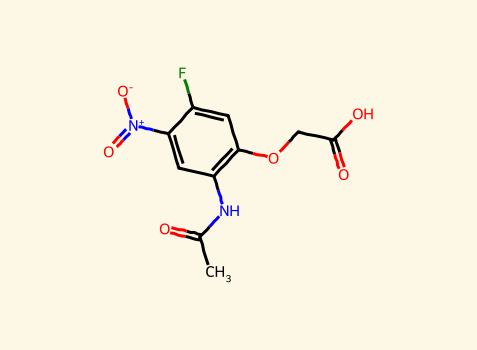 CC(=O)Nc1cc([N+](=O)[O-])c(F)cc1OCC(=O)O